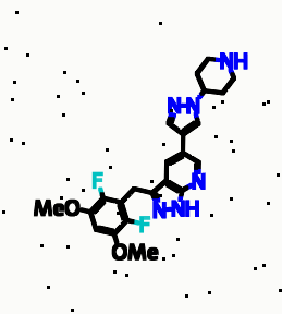 COc1cc(OC)c(F)c(Cc2n[nH]c3ncc(-c4cnn(C5CCNCC5)c4)cc23)c1F